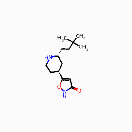 CC(C)(C)CC[C@@H]1C[C@@H](c2cc(=O)[nH]o2)CCN1